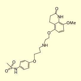 COc1ccc(OCCNCCCOc2ccc(NS(C)(=O)=O)cc2)c2c1NC(=O)CC2